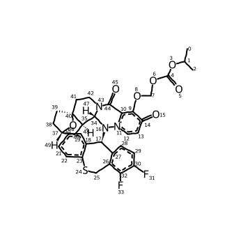 CC(C)OC(=O)OCOc1c2n(ccc1=O)N([C@@H]1c3ccccc3SCc3c1ccc(F)c3F)[C@@H]1[C@H]3C[C@@H]4CC[C@@]3(CCN1C2=O)O4